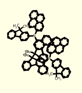 CC1(C)c2ccccc2-c2ccc(N(c3cc4c(c5ccccc35)-c3ccccc3C4(C(C)(C)C)C3(C(C)(C)C)c4ccccc4-c4c3cc(N(c3ccc5c(c3)C(C)(C)c3ccccc3-5)c3ccc5ccc6cccc7ccc3c5c67)c3ccccc43)c3ccc4ccc5cccc6ccc3c4c56)cc21